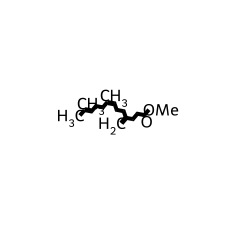 C=C(CCC=C(C)CCC=C(C)C)CCC(=O)OC